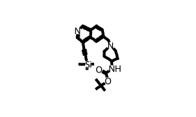 CC(C)(C)OC(=O)NC1CCN(Cc2ccc3cncc(C#C[Si](C)(C)C)c3c2)CC1